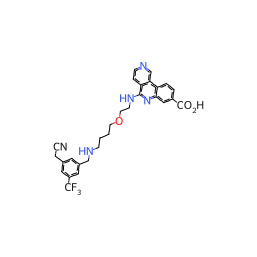 N#CCc1cc(CNCCCCOCCNc2nc3cc(C(=O)O)ccc3c3cnccc23)cc(C(F)(F)F)c1